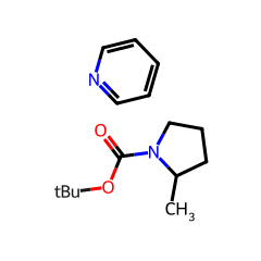 CC1CCCN1C(=O)OC(C)(C)C.c1ccncc1